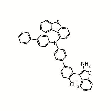 Cc1ccc(-c2ccc(N(c3ccc(-c4ccccc4)cc3)c3cccc4sc5ccccc5c34)cc2)cc1-c1c(N)oc2ccccc12